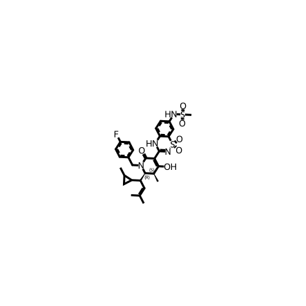 CC(C)=CC(C1CC1C)[C@@H]1[C@H](C)C(O)=C(C2=NS(=O)(=O)c3cc(NS(C)(=O)=O)ccc3N2)C(=O)N1Cc1ccc(F)cc1